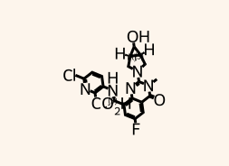 C[C@H](Nc1ccc(Cl)nc1C(=O)O)c1cc(F)cc2c(=O)n(C)c(N3C[C@@H]4C(O)[C@@H]4C3)nc12